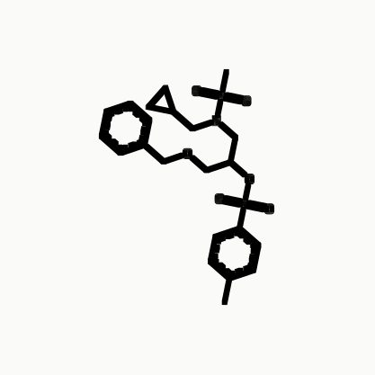 Cc1ccc(S(=O)(=O)OC(COCc2ccccc2)CN(CC2CC2)S(C)(=O)=O)cc1